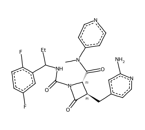 CCC(NC(=O)N1C(=O)[C@H](Cc2ccnc(N)c2)[C@H]1C(=O)N(C)c1ccncc1)c1cc(F)ccc1F